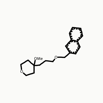 COC1(CCCOCc2ccc3ccccc3c2)CCOCC1